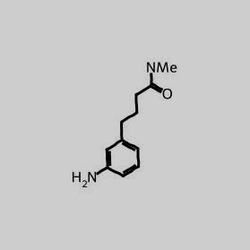 CNC(=O)CCCc1cccc(N)c1